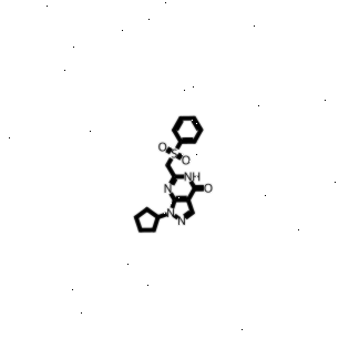 O=c1[nH]c(CS(=O)(=O)c2ccccc2)nc2c1cnn2C1CCCC1